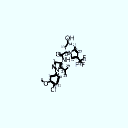 COc1cc(-n2ncc(NC(=O)[C@H](CCO)n3cc(C(F)(F)F)cc3C)c2C(C)C)ccc1Cl